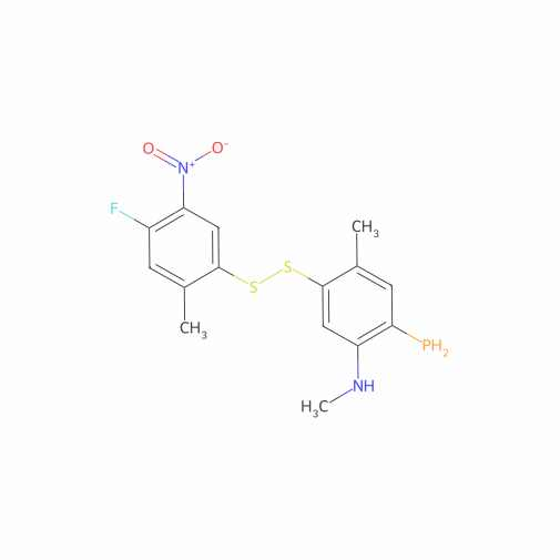 CNc1cc(SSc2cc([N+](=O)[O-])c(F)cc2C)c(C)cc1P